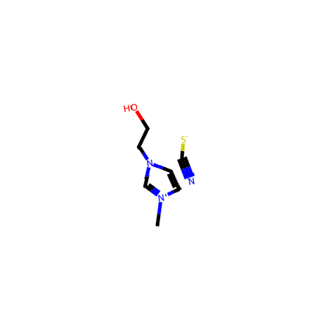 C[n+]1ccn(CCO)c1.N#C[S-]